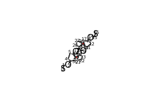 S=COc1ccc([O][Zr]([O]c2ccc(OC=S)cc2)([C]2=CC=CC2)[C]2=CC=CC2)cc1